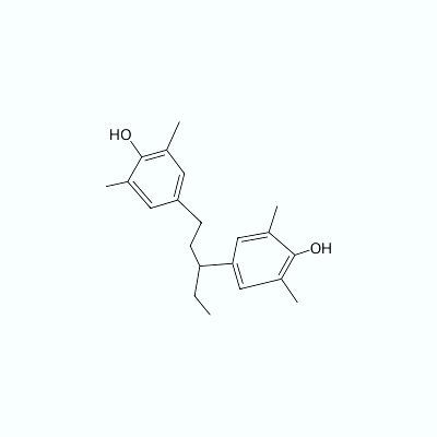 CCC(CCc1cc(C)c(O)c(C)c1)c1cc(C)c(O)c(C)c1